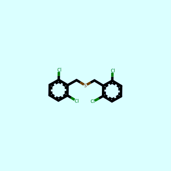 Clc1cccc(Cl)c1CSCc1c(Cl)cccc1Cl